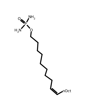 CCCCCCCC/C=C\CCCCCCCCOP(N)(N)=O